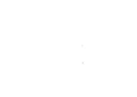 CC1(C)CCC(CC(=O)NC(C(=O)C(C)(C)C)C(C)(C)C)CC1